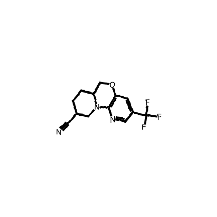 N#CC1CCC2COc3cc(C(F)(F)F)cnc3N2C1